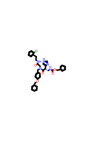 O=C(CN(Cc1ccc(OCc2ccccc2)cc1)C(=O)[C@@H](CNC(=O)OCc1ccccc1)c1c[nH]cn1)NCCc1ccccc1Cl